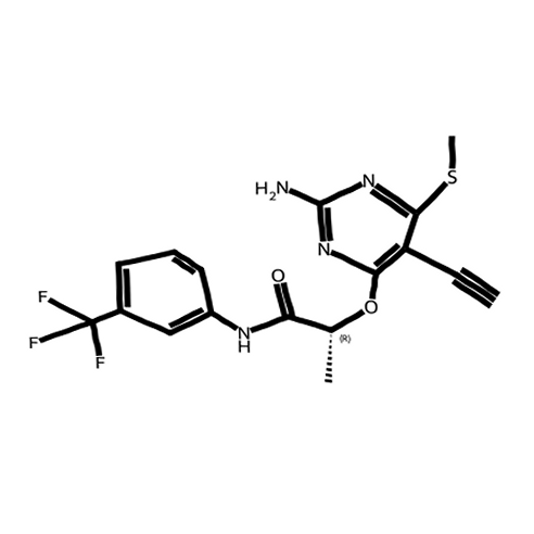 C#Cc1c(O[C@H](C)C(=O)Nc2cccc(C(F)(F)F)c2)nc(N)nc1SC